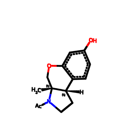 CC(=O)N1CC[C@H]2c3ccc(O)cc3OC[C@]21C